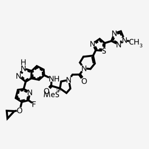 CS[C@@]1(C(=O)Nc2ccc3[nH]nc(-c4ccc(OC5CC5)c(F)n4)c3c2)CCN(CC(=O)N2CC=C(c3ncc(-c4ncn(C)n4)s3)CC2)C1